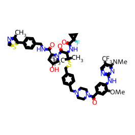 CNc1nc(Nc2ccc(C(=O)N3CCN(Cc4ccc(CSC(C)(C)C(NC(=O)C5(F)CC5)C(=O)N5C[C@H](O)C[C@H]5C(=O)NCc5ccc(-c6scnc6C)cc5)cc4)CC3)cc2OC)ncc1C(F)(F)F